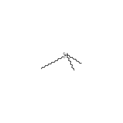 CCCCCCCCCCCCCCOC(=O)C(C)(CCCCCCCCC)CCCCCCCCC